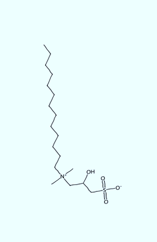 CCCCCCCCCCCCC[N+](C)(C)CC(O)CS(=O)(=O)[O-]